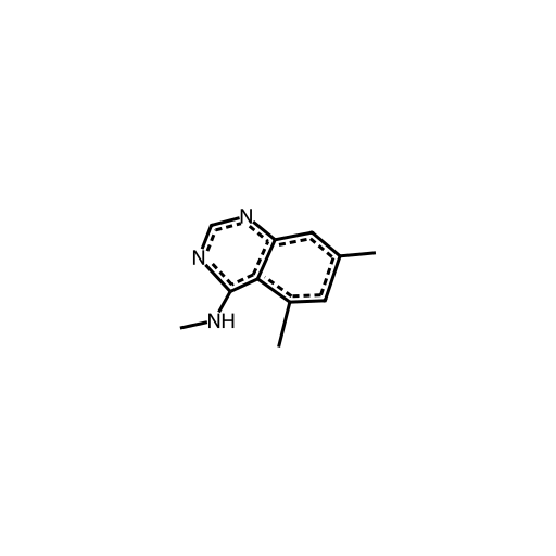 CNc1ncnc2cc(C)cc(C)c12